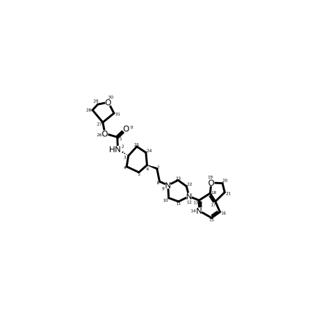 O=C(N[C@H]1CC[C@H](CCN2CCN(c3nccc4c3OCC4)CC2)CC1)OC1CCOC1